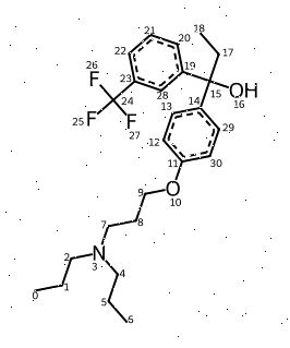 CCCN(CCC)CCCOc1ccc(C(O)(CC)c2cccc(C(F)(F)F)c2)cc1